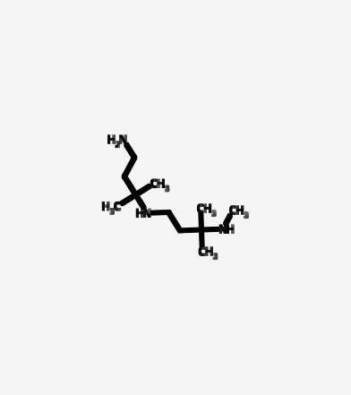 CNC(C)(C)CCNC(C)(C)CCN